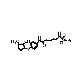 CC1CCC(Oc2ccc(NC(=O)CCCCNS(=O)(=O)C(C)C)cc2)C1C